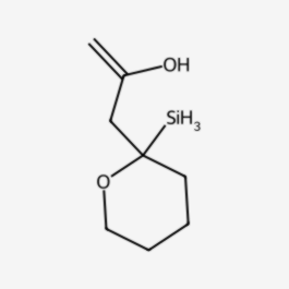 C=C(O)CC1([SiH3])CCCCO1